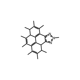 CC1=C(C)C(C)C2C(C)=C(C)C3=C4C2=C1c1nn(C)nc1C4C(C)C(C)=C3C